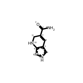 NC(=O)C1=Cc2c[nH]nc2NC1